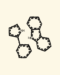 c1ccc(-c2ccc[nH]2)cc1.c1ccc2c(c1)[nH]c1ccccc12